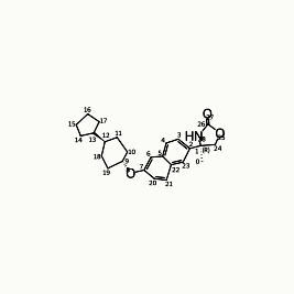 C[C@@]1(c2ccc3cc(O[C@H]4CC[C@H](C5CCCC5)CC4)ccc3c2)COC(=O)N1